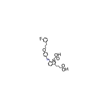 O=C(O)CCCc1cn(CC(=O)O)c2c(/C=C/c3ccc(OCCCc4cccc(F)c4)cc3)cccc12